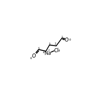 O=CCCCC=O.[Na][Cl]